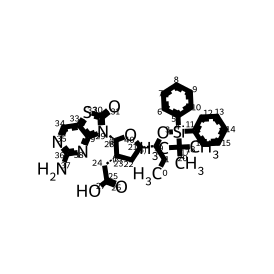 CCC(O[Si](c1ccccc1)(c1ccccc1)C(C)(C)C)[C@@H]1C[C@H](CC(=O)O)[C@H](n2c(=O)sc3cnc(N)nc32)O1